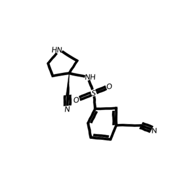 N#Cc1cccc(S(=O)(=O)N[C@]2(C#N)CCNC2)c1